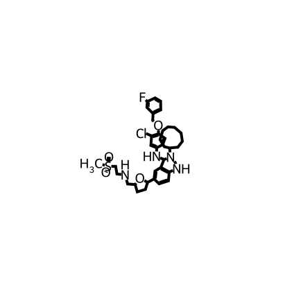 CS(=O)(=O)CCNCC1CCC(c2ccc3c(c2)C(Nc2ccc(OCc4cccc(F)c4)c(Cl)c2)N(C2CCCCCCCC2)CN3)O1